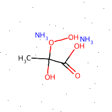 CC(O)(OO)C(=O)O.N.N